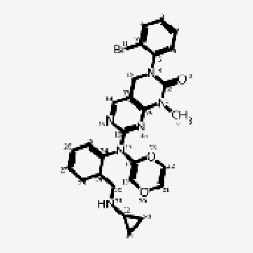 CN1C(=O)N(c2ccccc2Br)Cc2cnc(N(C3=COC=CO3)C3=CC=CCC3CNC3CC3)nc21